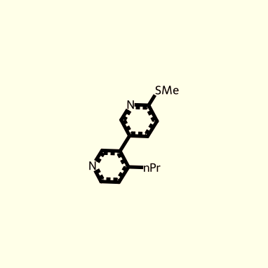 CCCc1ccncc1-c1ccc(SC)nc1